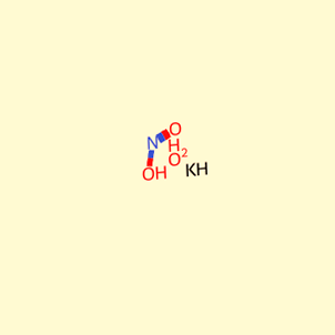 O.O=NO.[KH]